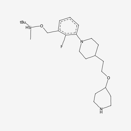 C[SiH](OCc1cccc(N2CCC(CCOC3CCNCC3)CC2)c1F)C(C)(C)C